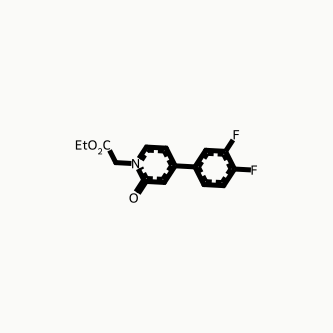 CCOC(=O)Cn1ccc(-c2ccc(F)c(F)c2)cc1=O